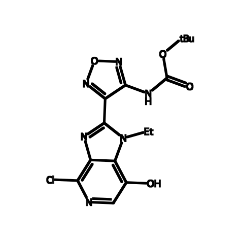 CCn1c(-c2nonc2NC(=O)OC(C)(C)C)nc2c(Cl)ncc(O)c21